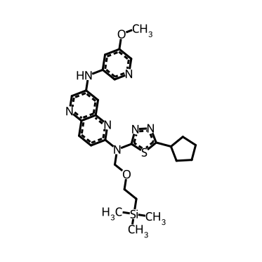 COc1cncc(Nc2cnc3ccc(N(COCC[Si](C)(C)C)c4nnc(C5CCCC5)s4)nc3c2)c1